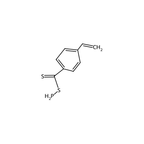 C=Cc1ccc(C(=S)SP)cc1